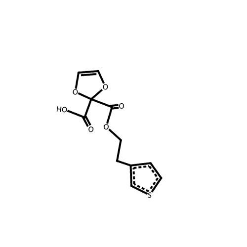 O=C(O)C1(C(=O)OCCc2ccsc2)OC=CO1